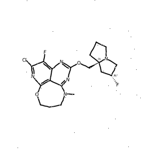 CN1CCCOc2nc(Cl)c(F)c3nc(OC[C@@]45CCCN4C[C@H](F)C5)nc1c23